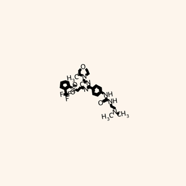 C[C@H]1COCCN1c1cc(CS(=O)(=O)c2ccccc2C(F)(F)F)nc(-c2ccc(NC(=O)NCCN(C)C)cc2)n1